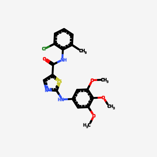 COc1cc(Nc2ncc(C(=O)Nc3c(C)cccc3Cl)s2)cc(OC)c1OC